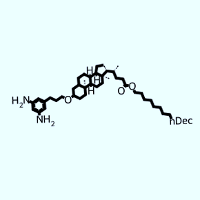 CCCCCCCCCCCCCCCCCCOC(=O)CC[C@@H](C)[C@H]1CC[C@H]2[C@@H]3CCC4CC(OCCCc5cc(N)cc(N)c5)CC[C@]4(C)[C@H]3CC[C@]12C